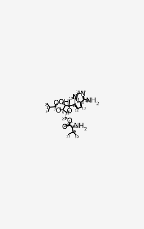 CC(C)C(=O)O[C@H]1[C@@H](O)[C@](C)(c2ccc3c(N)ncnn23)O[C@@H]1COC(=O)[C@@H](N)C(C)C